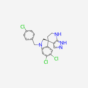 Clc1ccc(CN2C[C@]3(CCNc4[nH]ncc43)c3cc(Cl)c(Cl)cc32)cc1